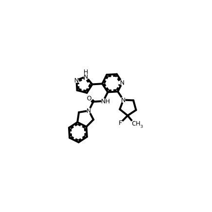 CC1(F)CCN(c2nccc(-c3ccn[nH]3)c2NC(=O)N2Cc3ccccc3C2)C1